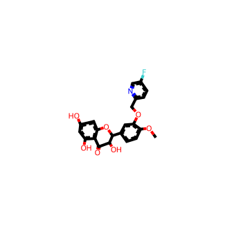 COc1ccc(C2Oc3cc(O)cc(O)c3C(=O)C2O)cc1OCc1ccc(F)cn1